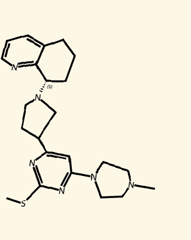 CSc1nc(C2CCN([C@H]3CCCc4cccnc43)C2)cc(N2CCN(C)CC2)n1